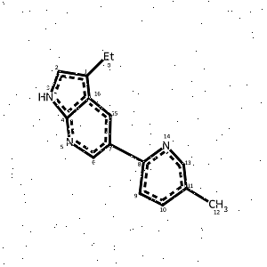 CCc1c[nH]c2ncc(-c3ccc(C)cn3)cc12